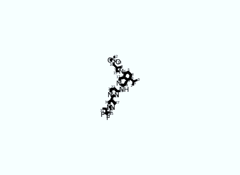 CC(C)c1ccc(N2CC(CS(C)(=O)=O)C2)c2cnc(Nc3ccnc(-c4cnn(C(C)C(F)(F)F)c4)n3)cc12